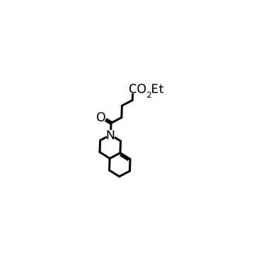 CCOC(=O)CCCC(=O)N1CCC2CCCC=C2C1